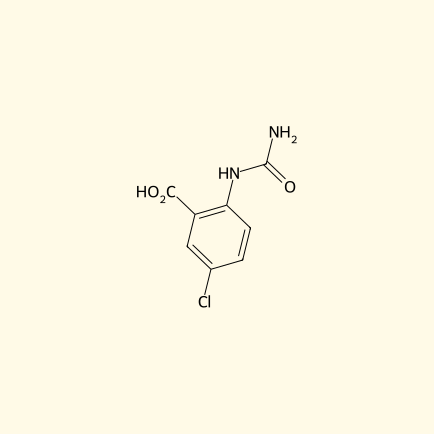 NC(=O)Nc1ccc(Cl)cc1C(=O)O